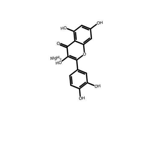 O=c1c(O)c(-c2ccc(O)c(O)c2)oc2cc(O)cc(O)c12.[MgH2]